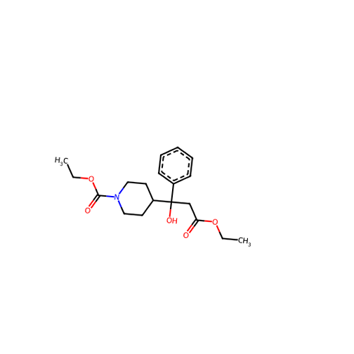 CCOC(=O)CC(O)(c1ccccc1)C1CCN(C(=O)OCC)CC1